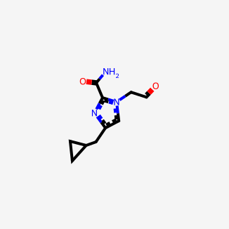 NC(=O)c1nc(CC2CC2)cn1CC=O